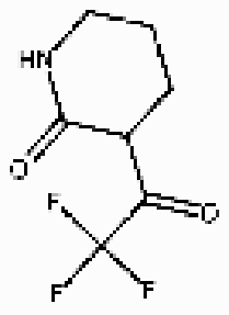 O=C1NCCCC1C(=O)C(F)(F)F